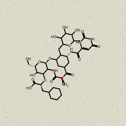 COC(=O)C1CC(O[C@@H]2O[C@@H](CO)C(O)C(O[C@@H](CC3CCCCC3)C(=O)O)C2NC(=O)CN)C(CC2OC(C)C(O)C(O)C2O)[C@H](NC(=O)c2cc(=O)[nH]c(=O)[nH]2)C1